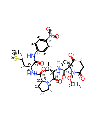 CON1C(=O)CCC(=O)[C@]1(C)C(=O)N[C@@H](C)C(=O)N1CCC[C@H]1C(=O)N[C@@H](CCSC)C(=O)Nc1ccc([N+](=O)[O-])cc1